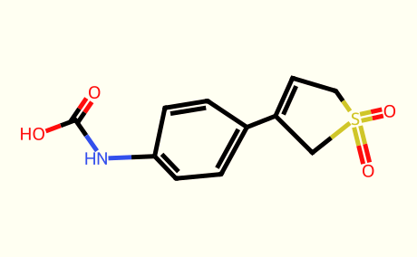 O=C(O)Nc1ccc(C2=CCS(=O)(=O)C2)cc1